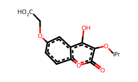 CC(C)Oc1c(O)c2cc(OCC(=O)O)ccc2oc1=O